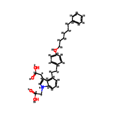 O=C(O)Cc1cn(CC(=O)O)c2cccc(CCc3ccc(OCCCCCCc4ccccc4)cc3)c12